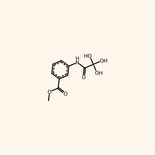 COC(=O)c1cccc(NC(=O)C(O)(O)O)c1